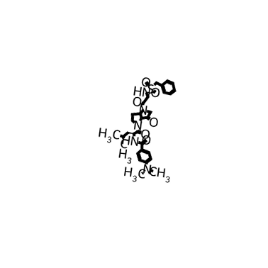 CC(C)C[C@H](NC(=O)c1ccc(N(C)C)cc1)C(=O)N1CCC2C1C(=O)CN2C(=O)CNS(=O)(=O)Cc1ccccc1